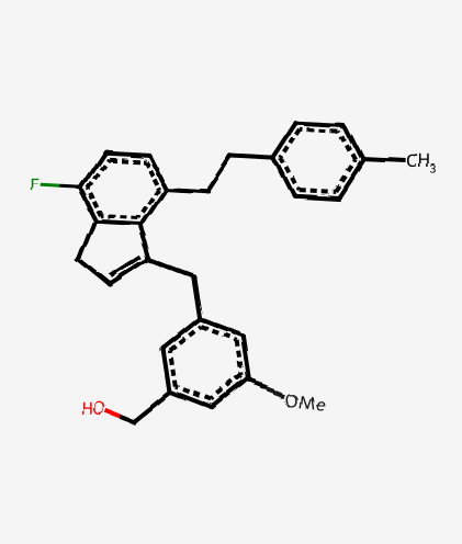 COc1cc(CO)cc(CC2=CCc3c(F)ccc(CCc4ccc(C)cc4)c32)c1